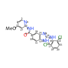 COc1ccnc(NC(=O)c2ccc3[nH]c(Nc4c(Cl)cccc4Cl)nc3c2)c1